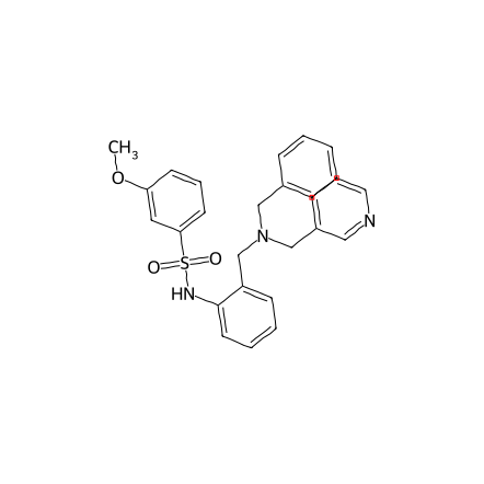 COc1cccc(S(=O)(=O)Nc2ccccc2CN(Cc2ccccc2)Cc2cccnc2)c1